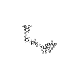 COc1ccc(CCCc2cccc(OCC(=O)NCCCCOc3cccc4c3C(=O)N(C3CCC(=O)NC3=O)C4=O)c2)cc1OC